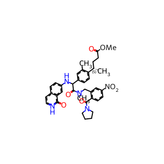 COC(=O)CC[C@H](C)c1ccc(C(Nc2ccc3cc[nH]c(=O)c3c2)C(=O)N(C)Cc2cc([N+](=O)[O-])ccc2C(=O)N2CCCC2)cc1C